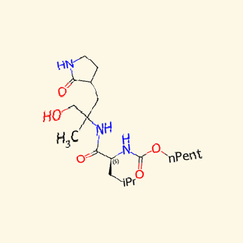 CCCCCOC(=O)N[C@@H](CC(C)C)C(=O)NC(C)(CO)CC1CCNC1=O